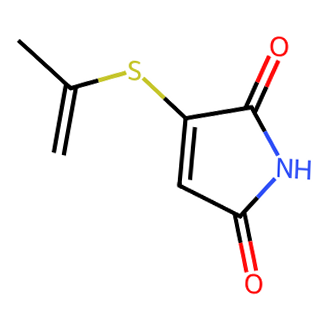 C=C(C)SC1=CC(=O)NC1=O